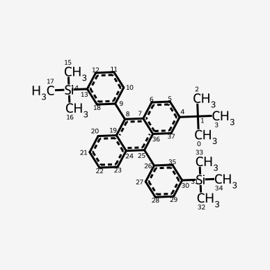 CC(C)(C)c1ccc2c(-c3cccc([Si](C)(C)C)c3)c3ccccc3c(-c3cccc([Si](C)(C)C)c3)c2c1